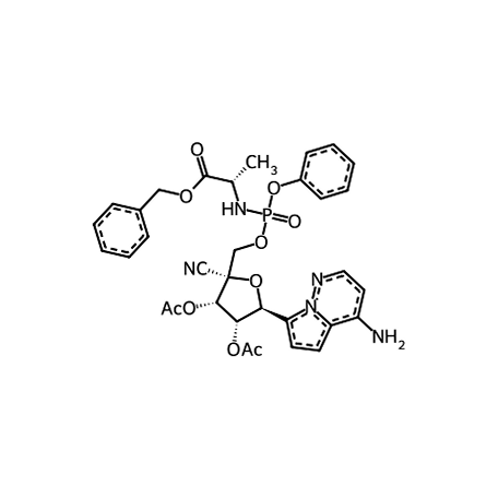 CC(=O)O[C@H]1[C@H](c2ccc3c(N)ccnn23)O[C@](C#N)(COP(=O)(N[C@@H](C)C(=O)OCc2ccccc2)Oc2ccccc2)[C@H]1OC(C)=O